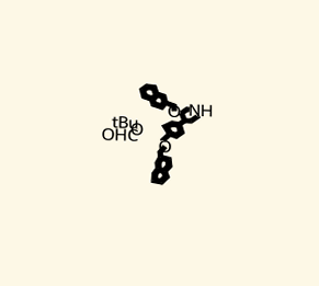 CC(C)(C)OC=O.c1ccc2cc(COCc3ccc(C4CCNCC4OCc4ccc5ccccc5c4)cc3)ccc2c1